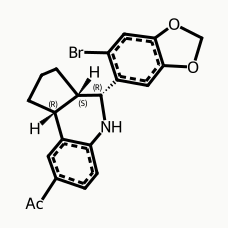 CC(=O)c1ccc2c(c1)[C@@H]1CCC[C@@H]1[C@H](c1cc3c(cc1Br)OCO3)N2